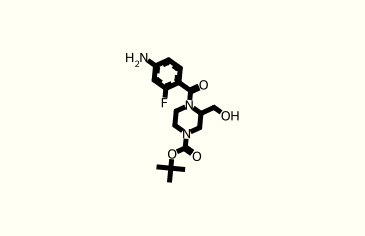 CC(C)(C)OC(=O)N1CCN(C(=O)c2ccc(N)cc2F)C(CO)C1